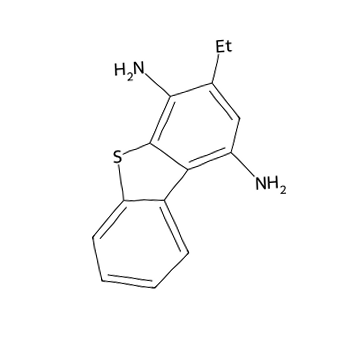 CCc1cc(N)c2c(sc3ccccc32)c1N